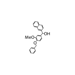 COc1cc(C(O)c2ccc3ccccc3c2)ccc1OCc1ccccc1